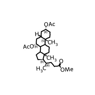 COC(=O)CC[C@@H](C)[C@H]1CCC2C3C(CC[C@@]21C)[C@@]1(C)CC[C@@H](OC(C)=O)C[C@H]1C[C@H]3OC(C)=O